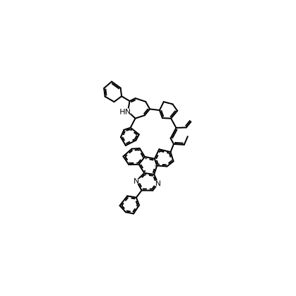 C=C/C(=C\C(=C/C)c1ccc2c(c1)c1ccccc1c1nc(-c3ccccc3)cnc21)C1=CCCC(C2=CC(c3ccccc3)NC(C3C=CC=CC3)=CC2)=C1